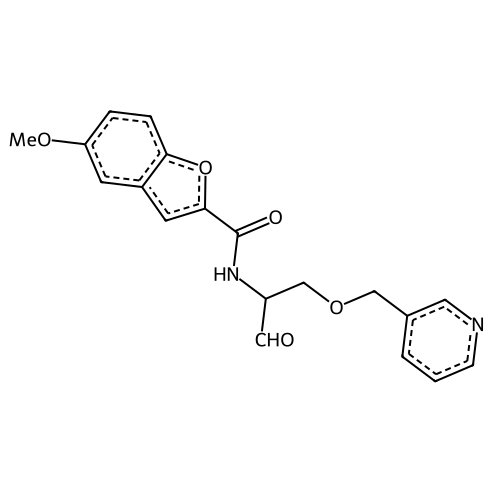 COc1ccc2oc(C(=O)NC(C=O)COCc3cccnc3)cc2c1